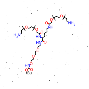 CC(C)(C)OC(=O)NOCCOCCOCCNC(=O)C(CCCCNC(=O)COC(C)(C)CCOC(C)(C)CCN)NC(=O)COC(C)(C)CCOC(C)(C)CCN